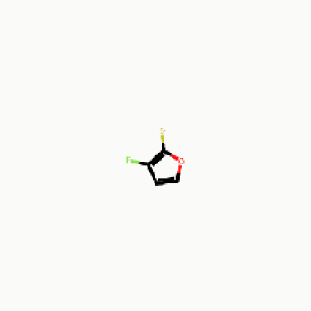 Fc1ccoc1[S]